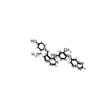 CC[C@@H]1C[C@@H](O)CCN1Cc1ccn2ncnc(Nc3ccc(Oc4ccn5ncnc5c4)c(C)c3)c12